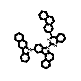 c1ccc2cc3c(cc2c1)c1ccccc1n3-c1ccc2c(c1)c1c3ccccc3ccc1n2-c1nc(-c2ccc3c(ccc4ccccc43)c2)c2ccccc2n1